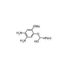 CCCCCC(O)Oc1cc(N)c(N)cc1OC